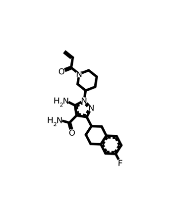 C=CC(=O)N1CCCC(n2nc(C3CCc4cc(F)ccc4C3)c(C(N)=O)c2N)C1